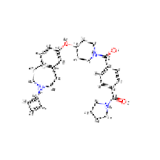 O=C(c1ccc(C(=O)N2CCC(Oc3ccc4c(c3)CCN(C3=CC=C3)CC4)CC2)cc1)N1CCCC1